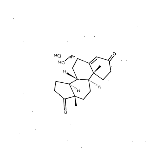 CCCO.C[C@]12CCC(=O)C=C1CC[C@@H]1[C@@H]2CC[C@]2(C)C(=O)CC[C@@H]12.Cl